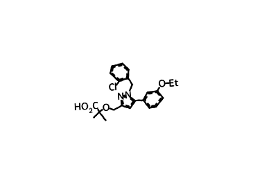 CCOc1cccc(-c2cc(COC(C)(C)C(=O)O)nn2Cc2ccccc2Cl)c1